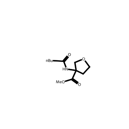 CCCCC(=O)NC1(C(=O)OC)CCOC1